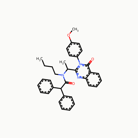 CCCCN(C(=O)C(c1ccccc1)c1ccccc1)C(C)c1nc2ccccc2c(=O)n1-c1ccc(OC)cc1